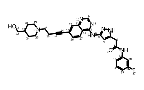 O=C(Cc1cc(Nc2ncnc3cc(C#CCCN4CCC(CO)CC4)ccc23)n[nH]1)Nc1cccc(F)c1